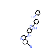 N#CC1CCc2nccc(Nc3ccc4nc(-c5cccc(Nc6ccccc6)c5)[nH]c4c3)c2C1